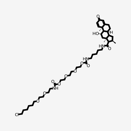 C[C@@H]1CC2[C@@H]3CCC4=CC(=O)C=C[C@]4(C)C3[C@@H](O)C[C@]2(C)C1C(=O)NCCCCCNC(=O)OCCOCCOCCOC(=O)NCCOCCOCCCCCCCl